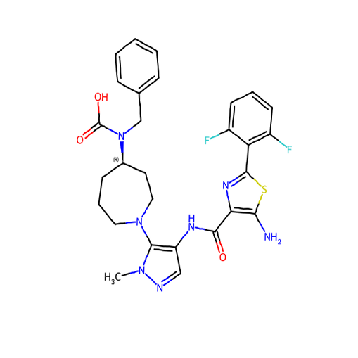 Cn1ncc(NC(=O)c2nc(-c3c(F)cccc3F)sc2N)c1N1CCC[C@@H](N(Cc2ccccc2)C(=O)O)CC1